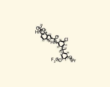 CC(C)Oc1cc(OC(F)(F)F)cc(C(C)(C)c2cc(Cl)cc(NC(=O)c3cc4nc(NS(C)(=O)=O)ccc4s3)c2)c1